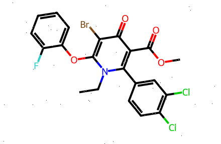 CCn1c(Oc2ccccc2F)c(Br)c(=O)c(C(=O)OC)c1-c1ccc(Cl)c(Cl)c1